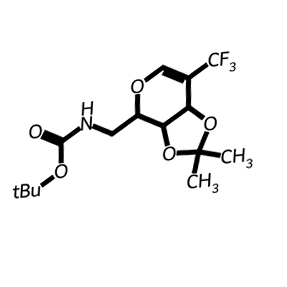 CC(C)(C)OC(=O)NCC1OC=C(C(F)(F)F)C2OC(C)(C)OC12